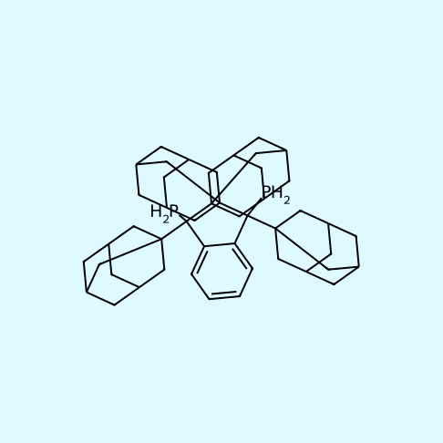 PC(c1ccccc1C(P)(C12CC3CC(CC(C3)C1)C2)C12CC3CC(CC(C3)C1)C2)(C12CC3CC(CC(C3)C1)C2)C12CC3CC(CC(C3)C1)C2